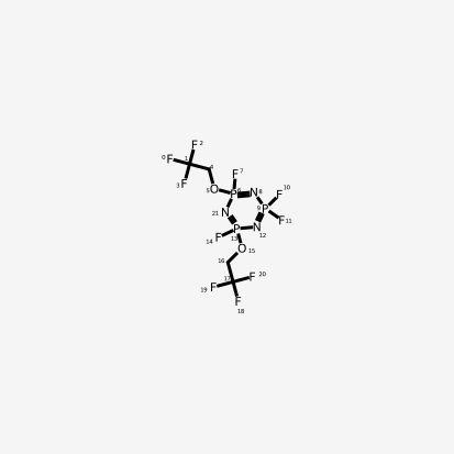 FC(F)(F)COP1(F)=NP(F)(F)=NP(F)(OCC(F)(F)F)=N1